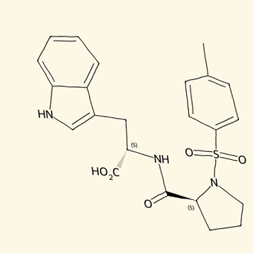 Cc1ccc(S(=O)(=O)N2CCC[C@H]2C(=O)N[C@@H](Cc2c[nH]c3ccccc23)C(=O)O)cc1